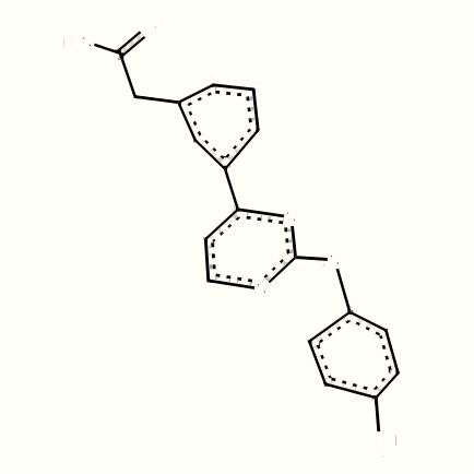 NC(=O)Cc1cccc(-c2ccnc(Nc3ccc(O)cc3)n2)c1